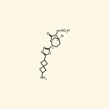 NC1CC2(C1)CC(c1nnc([C@@H]3CC[C@H]4CN3C(=O)N4OS(=O)(=O)O)o1)C2